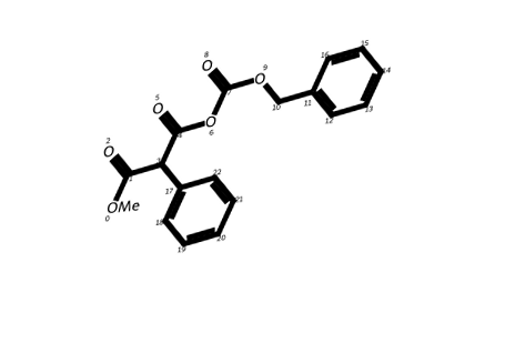 COC(=O)C(C(=O)OC(=O)OCc1ccccc1)c1ccccc1